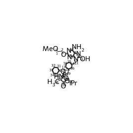 COCCOc1nc(N)c2nc(O)n(Cc3cccc(CP(=O)(N[C@@H](C)C(=O)OC(C)C)Oc4ccccc4)c3)c2n1